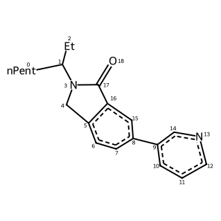 CCCCCC(CC)N1Cc2ccc(-c3cccnc3)cc2C1=O